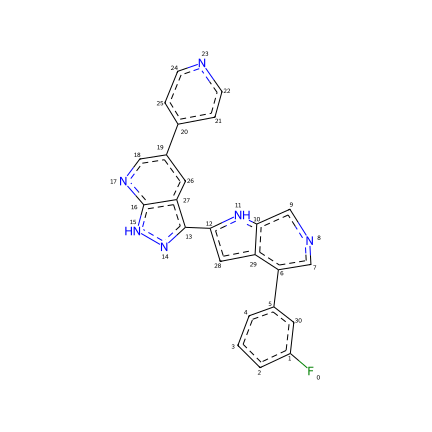 Fc1cccc(-c2cncc3[nH]c(-c4n[nH]c5ncc(-c6ccncc6)cc45)cc23)c1